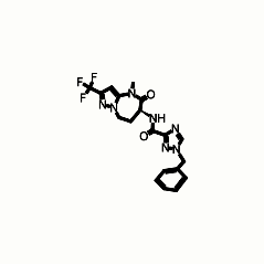 CN1C(=O)[C@@H](NC(=O)c2ncn(Cc3ccccc3)n2)CCn2nc(C(F)(F)F)cc21